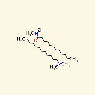 CCCCCCCCCCCC(=O)N(C)C.CCCCCCCCCCCCN(C)C